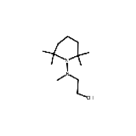 CN(CCO)N1C(C)(C)CCCC1(C)C